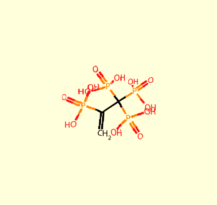 C=C(C(P(=O)(O)O)(P(=O)(O)O)P(=O)(O)O)P(=O)(O)O